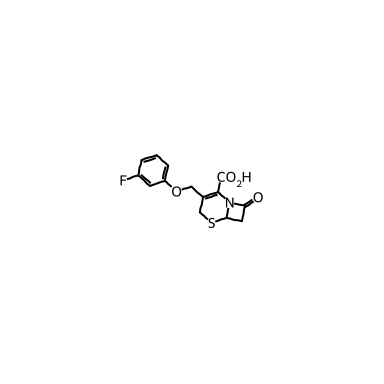 O=C(O)C1=C(COc2cccc(F)c2)CSC2CC(=O)N12